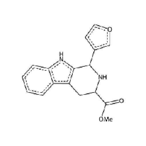 COC(=O)C1Cc2c([nH]c3ccccc23)C(c2ccoc2)N1